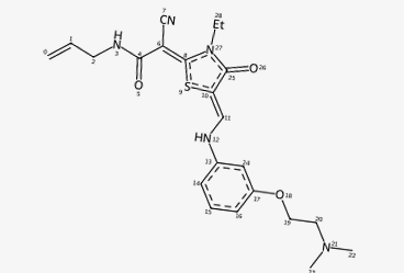 C=CCNC(=O)C(C#N)=c1sc(=CNc2cccc(OCCN(C)C)c2)c(=O)n1CC